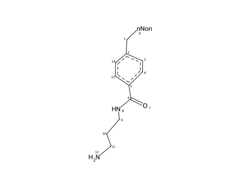 CCCCCCCCCCc1ccc(C(=O)NCCCN)cc1